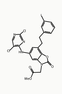 COC(=O)Cn1c(=O)oc2c(CCc3cccc(I)c3)cc(Nc3nc(Cl)ncc3Cl)cc21